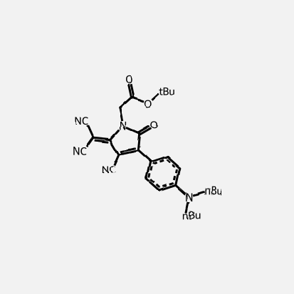 CCCCN(CCCC)c1ccc(C2=C(C#N)C(=C(C#N)C#N)N(CC(=O)OC(C)(C)C)C2=O)cc1